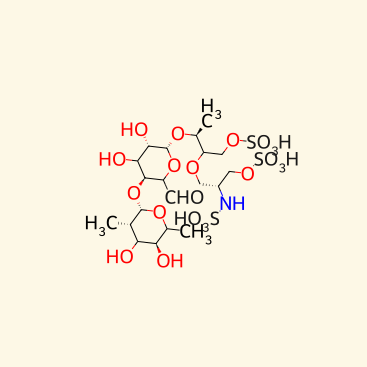 CC1O[C@@H](O[C@@H]2C(C=O)O[C@@H](O[C@@H](C)C(COS(=O)(=O)O)OC[C@H](COS(=O)(=O)O)NS(=O)(=O)O)[C@@H](O)C2O)[C@@H](C)C(O)[C@@H]1O